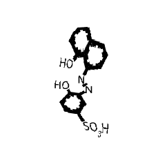 O=S(=O)(O)c1ccc(O)c(N=Nc2cccc3cccc(O)c23)c1